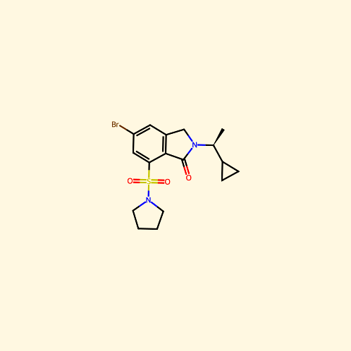 C[C@@H](C1CC1)N1Cc2cc(Br)cc(S(=O)(=O)N3CCCC3)c2C1=O